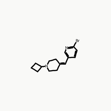 Brc1ccc(C=C2CCN(C3CCC3)CC2)cn1